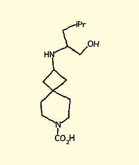 CC(C)CC(CO)NC1CC2(CCN(C(=O)O)CC2)C1